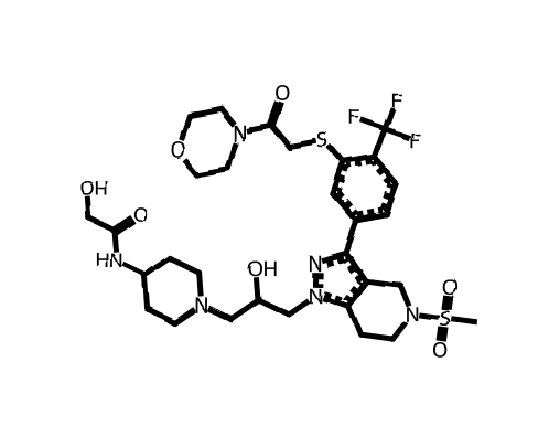 CS(=O)(=O)N1CCc2c(c(-c3ccc(C(F)(F)F)c(SCC(=O)N4CCOCC4)c3)nn2CC(O)CN2CCC(NC(=O)CO)CC2)C1